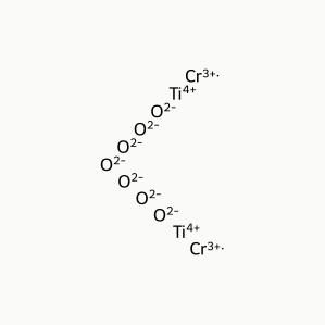 [Cr+3].[Cr+3].[O-2].[O-2].[O-2].[O-2].[O-2].[O-2].[O-2].[Ti+4].[Ti+4]